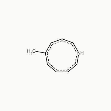 Cc1cccc[nH]ccc1